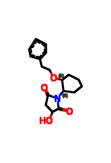 O=C1CC(O)C(=O)N1[C@@H]1CCCC[C@@H]1OCCc1ccccc1